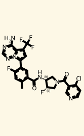 Cc1cc(F)c(-c2cc(C(F)(F)F)c3c(N)ncnn23)cc1C(=O)N[C@@H]1CN(C(=O)c2cnccc2Cl)C[C@@H]1F